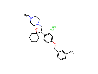 CN1CCN(CC(c2ccc(OCc3cccc(C(F)(F)F)c3)cc2)C2(O)CCCCC2)CC1.Cl.Cl